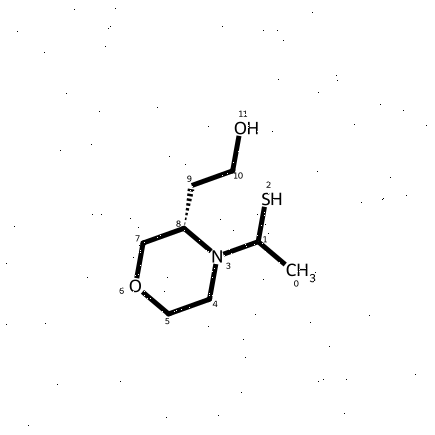 CC(S)N1CCOC[C@@H]1CCO